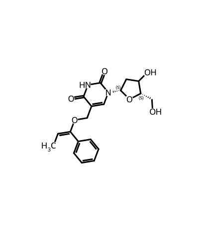 CC=C(OCc1cn([C@@H]2CC(O)[C@H](CO)O2)c(=O)[nH]c1=O)c1ccccc1